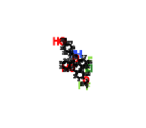 Cc1ccc(OC(F)F)c(F)c1-c1c(Cl)c(F)cc2c1[C@H](O)[C@@](CN[C@H]1CC[C@H](O)CC1)(c1ccccc1)O2